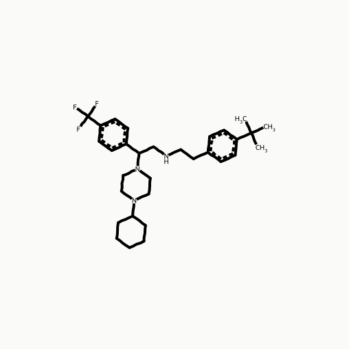 CC(C)(C)c1ccc(CCNCC(c2ccc(C(F)(F)F)cc2)N2CCN(C3CCCCC3)CC2)cc1